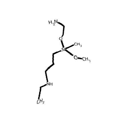 CCNCCC[Si](C)(OC)OCN